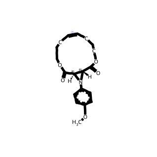 COc1ccc(N2[C@H]3C(=O)OCCC/C=C\CCCOC(=O)[C@@H]32)cc1